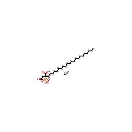 CCCCCCCCCCCCCCCCCCCCCCC(CC(=O)[O-])(C(=O)[O-])S(=O)(=O)O.[Li+].[Li+]